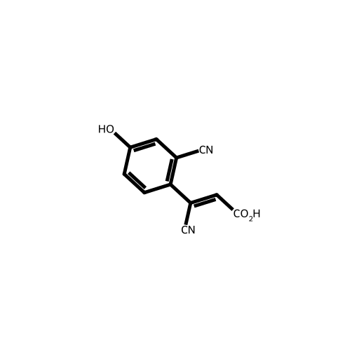 N#CC(=CC(=O)O)c1ccc(O)cc1C#N